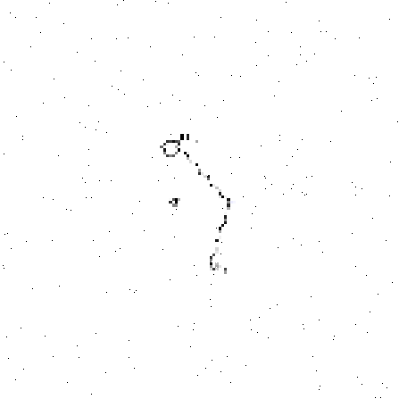 CCCCCCCC/C=C\CCCCCCCCc1cccc[n+]1C.[Cl-]